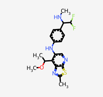 CNC(c1ccc(Nc2cnc3sc(C)nc3c2C(C)OC)cc1)C(F)F